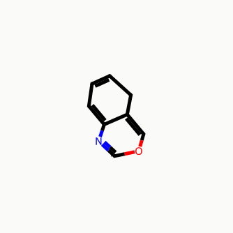 [C]1=NC2=CC=CCC2=CO1